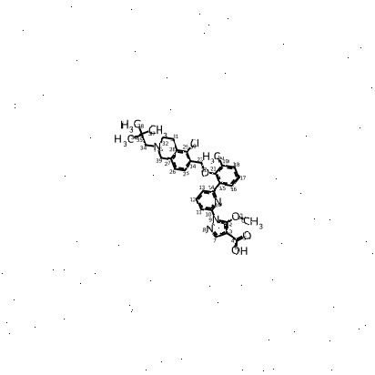 COc1c(C(=O)O)cnn1-c1cccc(-c2cccc(C)c2OCc2ccc3c(c2Cl)CCN(CC(C)(C)C)C3)n1